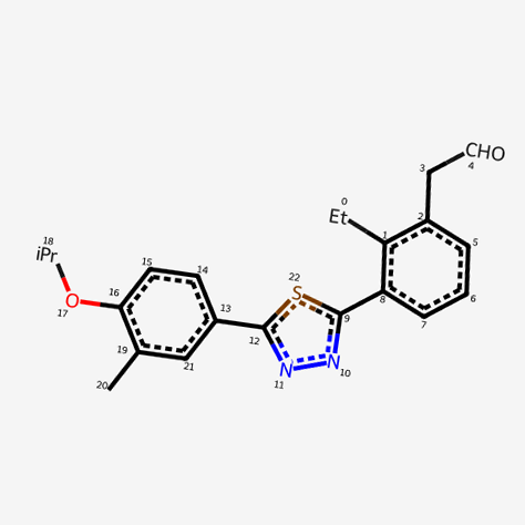 CCc1c(CC=O)cccc1-c1nnc(-c2ccc(OC(C)C)c(C)c2)s1